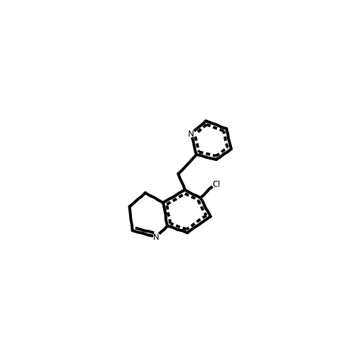 Clc1ccc2c(c1Cc1ccccn1)CCC=N2